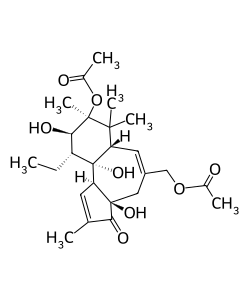 CC[C@@H]1[C@@H](O)[C@@](C)(OC(C)=O)C(C)(C)[C@@H]2C=C(COC(C)=O)C[C@]3(O)C(=O)C(C)=C[C@H]3[C@@]12O